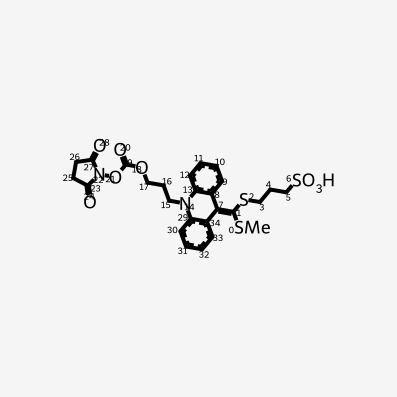 CSC(SCCCS(=O)(=O)O)=C1c2ccccc2N(CCCOC(=O)ON2C(=O)CCC2=O)c2ccccc21